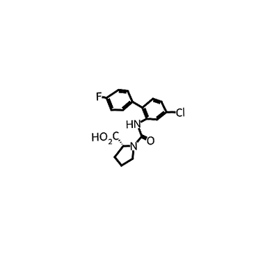 O=C(O)[C@H]1CCCN1C(=O)Nc1cc(Cl)ccc1-c1ccc(F)cc1